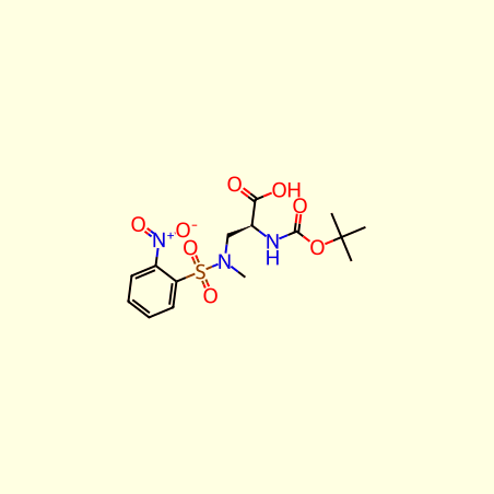 CN(C[C@H](NC(=O)OC(C)(C)C)C(=O)O)S(=O)(=O)c1ccccc1[N+](=O)[O-]